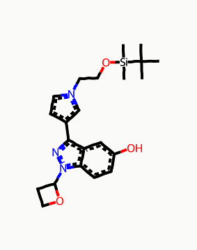 CC(C)(C)[Si](C)(C)OCCn1ccc(-c2nn(C3CCO3)c3ccc(O)cc23)c1